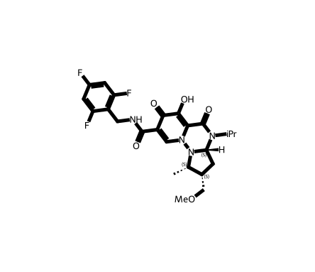 COC[C@H]1C[C@H]2N(C(C)C)C(=O)c3c(O)c(=O)c(C(=O)NCc4c(F)cc(F)cc4F)cn3N2[C@H]1C